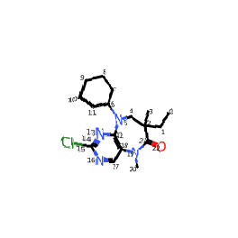 CCC1(C)CN(C2CCCCC2)c2nc(Cl)ncc2N(C)C1=O